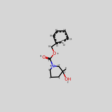 CC1(O)CCCN(C(=O)OCc2ccccc2)C1